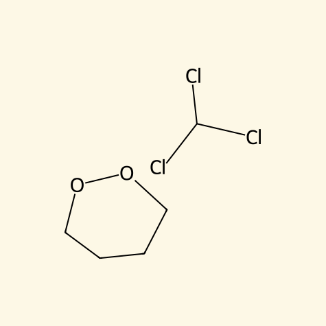 C1CCOOC1.ClC(Cl)Cl